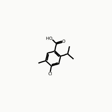 Cc1cc(C(=O)O)c(C(C)C)cc1Cl